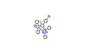 N#Cc1ccc(-c2cccc3c2Sc2ccccc2C32c3ccccc3-c3c2cc(-c2nc(-c4ccccc4)nc(-c4ccccc4)n2)c2ccccc32)cc1